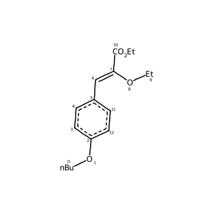 CCCCOc1ccc(/C=C(\OCC)C(=O)OCC)cc1